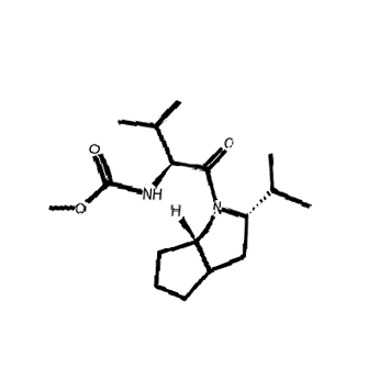 COC(=O)N[C@H](C(=O)N1[C@H](C(C)C)CC2CCC[C@@H]21)C(C)C